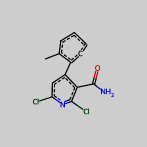 Cc1ccccc1-c1cc(Cl)nc(Cl)c1C(N)=O